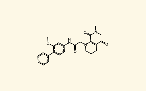 COc1cc(NC(=O)CN2CCCC(C=O)=C2C(=O)N(C)C)ccc1-c1ccccc1